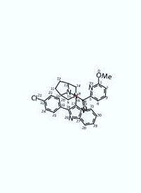 COc1cccc(C(=O)N2CC3CCC(C2)N3Cc2c(-c3ccc(Cl)cc3)nc3ccccn23)n1